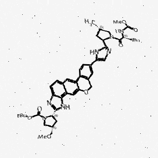 CCC(C)[C@H](NC(=O)OC)C(=O)N1C[C@@H](C)CC1c1ncc(-c2ccc3c(c2)COc2cc4c(ccc5nc([C@@H]6C[C@H](COC)CN6C(=O)OC(C)(C)C)[nH]c54)cc2-3)[nH]1